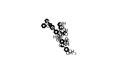 Cc1ccccc1[C@@H]1CCCN1C1CC2(CCN(c3ccc(C(=O)NS(=O)(=O)c4cc5c(c([N+](=O)[O-])c4)N[C@@H](C4CCC(C)(O)CC4)CO5)c(N4C[C@@H]5COC[C@@H]5Oc5nc6[nH]ccc6cc54)c3)CC2)C1